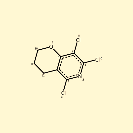 Clc1nc(Cl)c2c(c1Cl)OCCC2